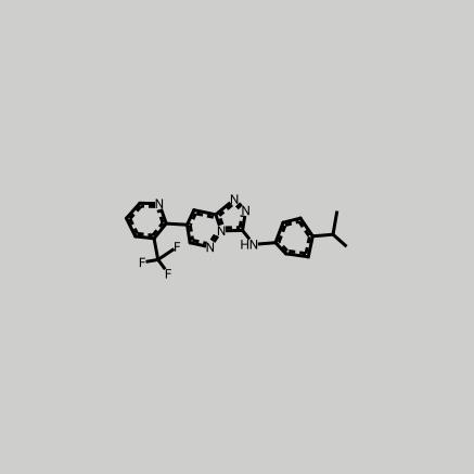 CC(C)c1ccc(Nc2nnc3cc(-c4ncccc4C(F)(F)F)cnn23)cc1